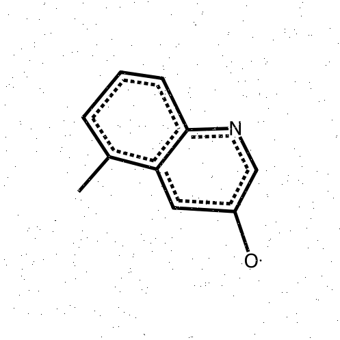 Cc1cccc2ncc([O])cc12